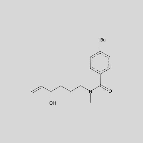 C=CC(O)CCCN(C)C(=O)c1ccc(C(C)CC)cc1